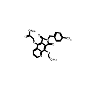 COCOc1c2c(c(OCC(=O)OC)c3cccnc13)C(=O)N(Cc1ccc(C(F)(F)F)cc1)C2=O